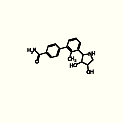 Cc1c(-c2ccc(C(N)=O)cc2)cccc1C1NCC(O)C1O